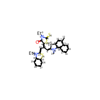 CCN1C(=O)C(=C(C=C2[Te]c3cc(C)c4ccccc4c3N2C)C=C2Sc3ccccc3N2CC)SC1=S